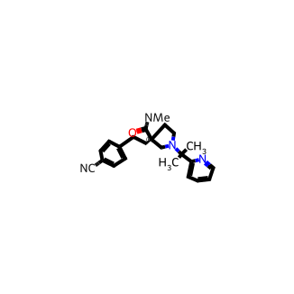 CNC(=O)[C@]1(CCc2ccc(C#N)cc2)CCN(C(C)(C)c2ccccn2)C1